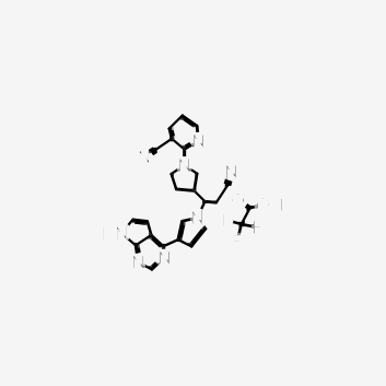 N#CCC(C1CCN(c2ncccc2C#N)C1)n1ccc(-c2ncnc3[nH]ccc23)c1.O=C(O)C(F)(F)F